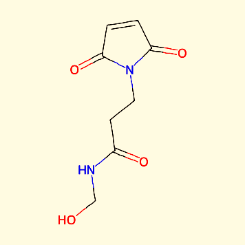 O=C(CCN1C(=O)C=CC1=O)NCO